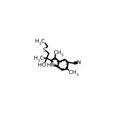 CCSCC(C)(O)c1[nH]c2cc(C)c(C#N)cc2c1C